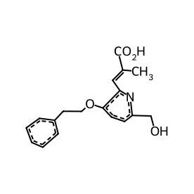 CC(=Cc1nc(CO)ccc1OCCc1ccccc1)C(=O)O